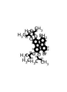 Bc1ccc2c(c1)C1(c3cc(Br)ccc3-2)c2cc(OCC(C)CC)c(OCC(C)CC)cc2-c2cc(OCC(C)CC)c(OCC(C)CC)cc21